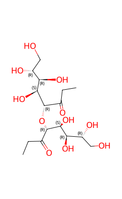 CCC(=O)[C@H](O[C@@H](C(=O)CC)[C@@H](O)[C@H](O)[C@H](O)CO)[C@@H](O)[C@H](O)[C@H](O)CO